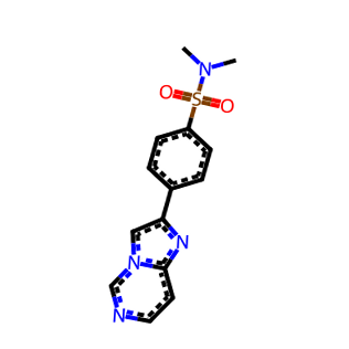 CN(C)S(=O)(=O)c1ccc(-c2cn3cnccc3n2)cc1